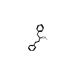 CC(CCc1ccccc1)Cc1ccccc1